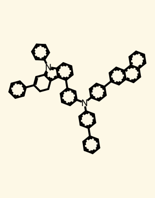 C1=C(c2ccccc2)CCc2c1n(-c1ccccc1)c1cccc(-c3cccc(N(c4ccc(-c5ccccc5)cc4)c4ccc(-c5ccc6c(ccc7ccccc76)c5)cc4)c3)c21